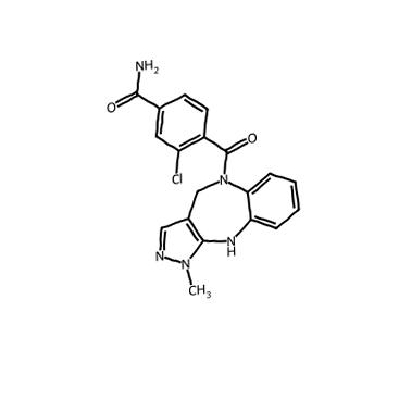 Cn1ncc2c1Nc1ccccc1N(C(=O)c1ccc(C(N)=O)cc1Cl)C2